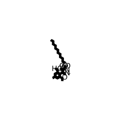 CCCCCCCCCCCCS(=O)(=O)c1nn(C)c(=O)c(-c2c(CC)cc(C)cc2CC)c1O